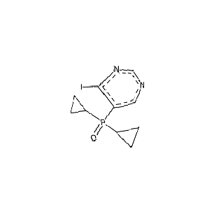 O=P(c1cncnc1I)(C1CC1)C1CC1